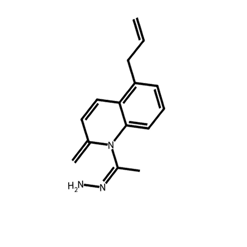 C=CCc1cccc2c1C=CC(=C)N2/C(C)=N\N